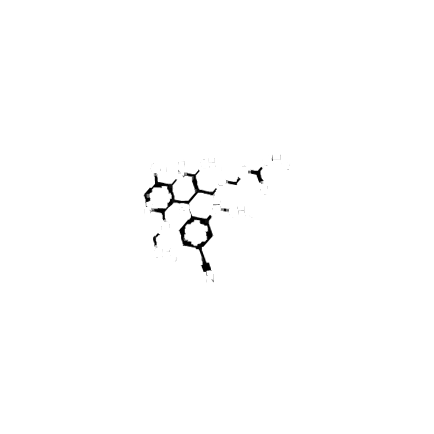 CCOc1ncc(C)c2c1[C@H](c1ccc(C#N)cc1OC)C(C(=O)OCOC(C)=O)=C(C)N2